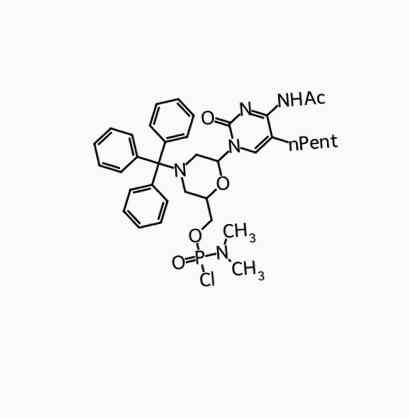 CCCCCc1cn(C2CN(C(c3ccccc3)(c3ccccc3)c3ccccc3)CC(COP(=O)(Cl)N(C)C)O2)c(=O)nc1NC(C)=O